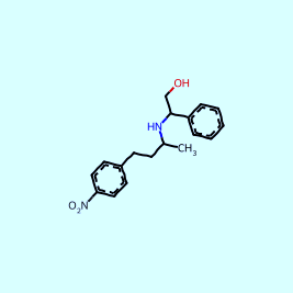 CC(CCc1ccc([N+](=O)[O-])cc1)NC(CO)c1ccccc1